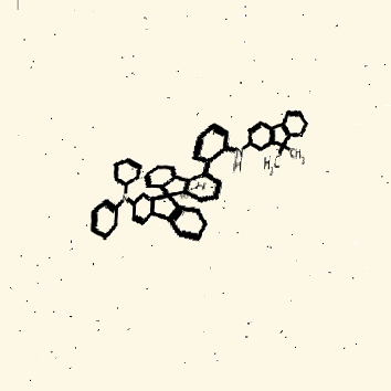 CC1(C)C2=C(C=CCC2)C2=C1CC(NC1C=CC=CC1C1CCC[C@@H]3C1C1CCC=CC1C31C3=C(C=CCC3)C3C=CC(N(C4=CC=CCC4)C4CC=CCC4)CC31)C=C2